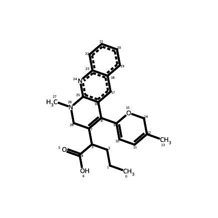 CCCC(C(=O)O)C1=C(C2=CC=C(C)CO2)c2cc3ccccc3nc2N(C)C1